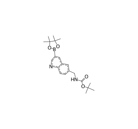 CC(C)(C)OC(=O)NCc1ccc2ncc(B3OC(C)(C)C(C)(C)O3)cc2c1